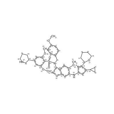 COc1ccc(CN(c2noc3cc(Nc4cc(C5CC5)n(C5CCCCO5)n4)c(OC)cc23)S(=O)(=O)c2c(OC)cc(C3CCCNC3)cc2OC)cc1